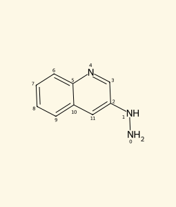 NNc1cnc2ccccc2c1